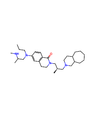 CCCN(CC(C)NC)c1ccc2c(c1)CCN(C[C@H](C)CN1CCC3CCCCCC3C1)C2=O